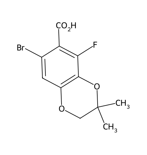 CC1(C)COc2cc(Br)c(C(=O)O)c(F)c2O1